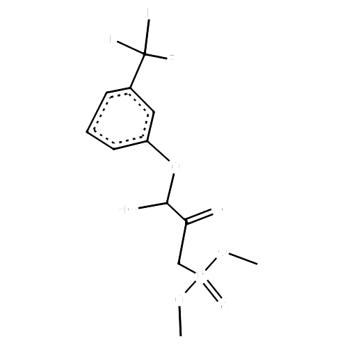 COP(=O)(CC(=O)C(O)Oc1cccc(C(F)(F)F)c1)OC